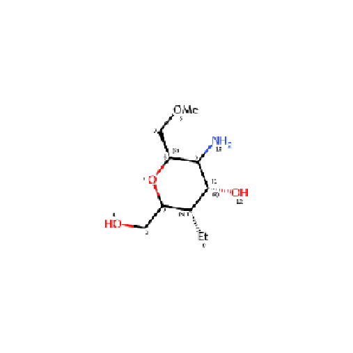 CC[C@@H]1C(CO)O[C@@H](COC)C(N)[C@@H]1O